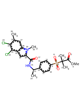 COC(=O)C(C)(C)S(=O)(=O)c1ccc([C@@H](C)NC(=O)c2cc3c(Cl)c(Cl)c(C)cc3n2C)cc1